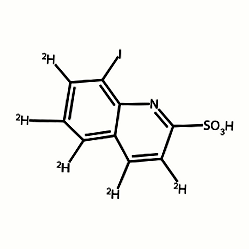 [2H]c1c([2H])c([2H])c2c([2H])c([2H])c(S(=O)(=O)O)nc2c1I